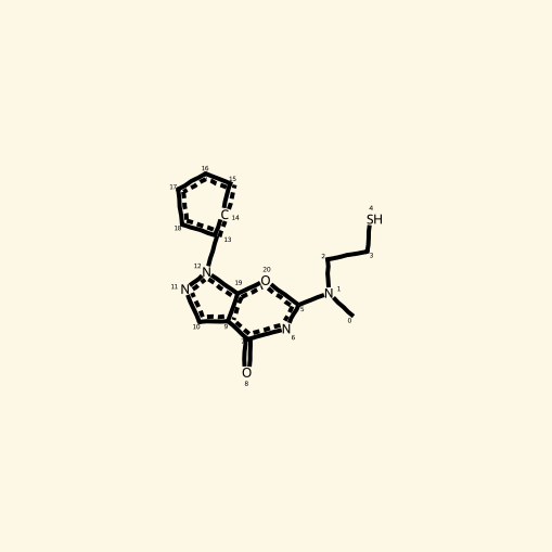 CN(CCS)c1nc(=O)c2cnn(-c3ccccc3)c2o1